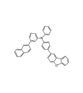 c1ccc(N(c2ccc(-c3ccc4oc5ccccc5c4c3)cc2)c2cccc(-c3ccc4ccccc4c3)c2)cc1